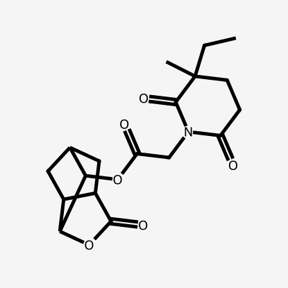 CCC1(C)CCC(=O)N(CC(=O)OC2C3CC4C(=O)OC2C4C3)C1=O